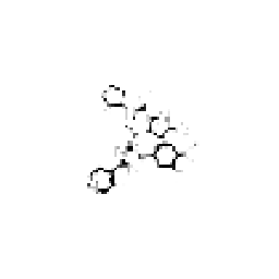 COc1ccc(-c2nc(-c3ccncc3)nn2CCN(C(=O)[C@H]2CCC(=O)N2)C2CCCC2)cc1Cl